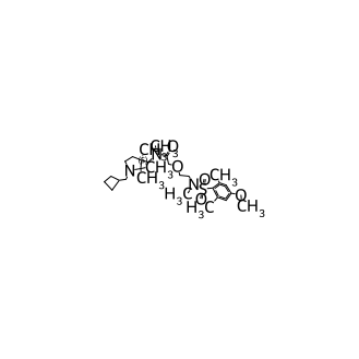 COc1cc(C)c(S(=O)(=O)N(C)CCOCC(=O)N(C)C[C@]2(C)CCN(CC3CCC3)C2(C)C)c(C)c1